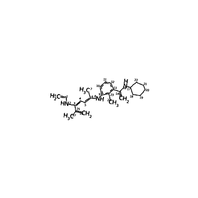 C=CN/C(=C/C=C(\C)Nc1cccc(C(=C)NC2CCCCC2)c1C)C(=C)C